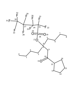 CCCCS(CCCC)(CC(=O)C1CCCC1)OS(=O)(=O)C(F)(F)C(F)(F)C(F)(F)C(F)(F)F